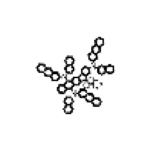 CC1(C)c2cc(N(c3ccc4ccccc4c3)c3ccc4cc5ccccc5cc4c3)ccc2-c2cc3c(N(c4ccc5ccccc5c4)c4ccc5cc6ccccc6cc5c4)c4ccccc4c(N(c4ccc5ccccc5c4)c4ccc5cc6ccccc6cc5c4)c3cc21